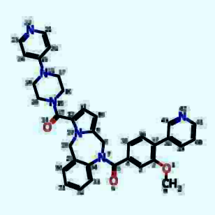 COc1cc(C(=O)N2Cc3ccc(C(=O)N4CCN(c5ccncc5)CC4)n3Cc3ccccc32)ccc1-c1cccnc1